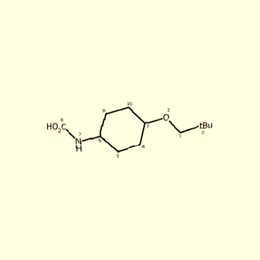 CC(C)(C)COC1CCC(NC(=O)O)CC1